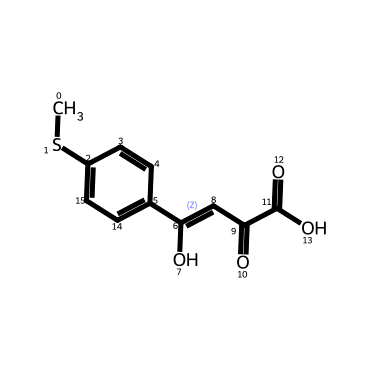 CSc1ccc(/C(O)=C/C(=O)C(=O)O)cc1